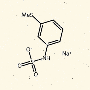 CSc1cccc(NS(=O)(=O)[O-])c1.[Na+]